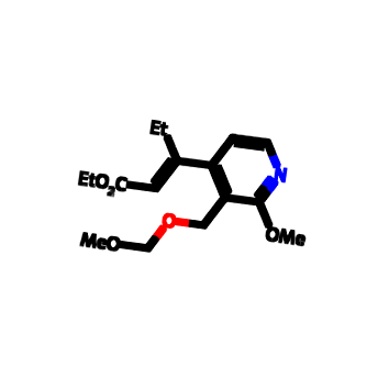 CCOC(=O)C=C(CC)c1ccnc(OC)c1COCOC